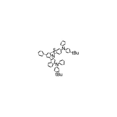 CC(C)(C)c1ccc(N(c2ccccc2)c2ccc3c(c2)sc2c4cc(-c5ccccc5)cc5c6c7ccccc7c(N(c7ccccc7)c7ccc(C(C)(C)C)cc7)cc6n(c45)c32)cc1